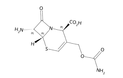 NC(=O)OCC1=CS[C@@H]2[C@H](N)C(=O)N2[C@H]1C(=O)O